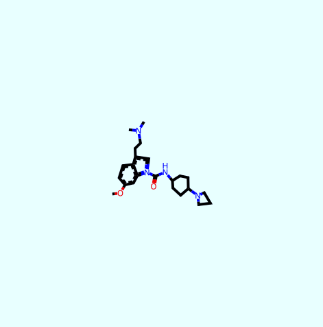 COc1ccc2c(CCN(C)C)cn(C(=O)NC3CCC(N4CCC4)CC3)c2c1